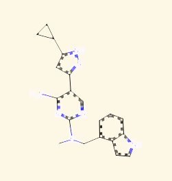 CN(Cc1cccc2[nH]ccc12)c1ncc(-c2cc(C3CC3)[nH]n2)c(N)n1